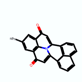 CCCc1cc2c(=O)cc3c4cccc5cccc(c54)c4cc(=O)c(c1)c2n34